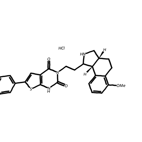 COc1cccc2c1CC[C@H]1CNC(CCn3c(=O)[nH]c4sc(-c5ccccc5)cc4c3=O)[C@@H]21.Cl